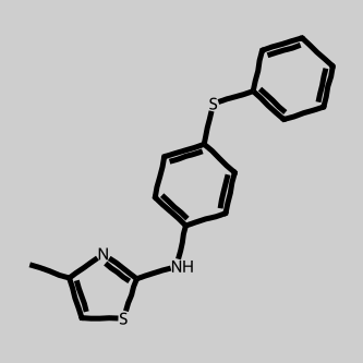 Cc1csc(Nc2ccc(Sc3ccccc3)cc2)n1